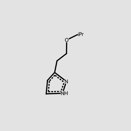 CC(C)OCCc1cc[nH]n1